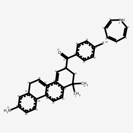 C1=CC=CNC=C1.CC1(C)CC(C(=O)c2ccc(F)cc2)C=c2c1ccc1c2=CCc2cc(N)ccc2-1